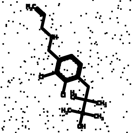 C=CCNCc1ccc(CC(C)(C)[Si](C)(C)O)c(Cl)c1Cl